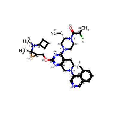 Cc1cccc2cncc(N3CCc4c(nc(OCC5S[C@]5(C)N(C)C5CCC5)nc4N4CCN(C(=O)C(C)F)[C@@H](CC#N)C4)C3)c12